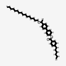 CCCCCCCCCCCCCCCCOC(C)c1ccc(-c2ccc(OC(=O)c3ccc(CCCCCC)cc3)cc2)cc1